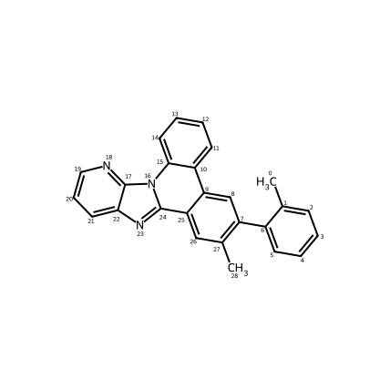 Cc1ccccc1-c1cc2c3ccccc3n3c4ncccc4nc3c2cc1C